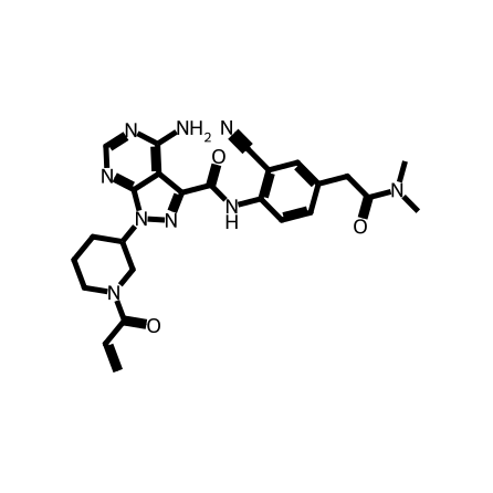 C=CC(=O)N1CCCC(n2nc(C(=O)Nc3ccc(CC(=O)N(C)C)cc3C#N)c3c(N)ncnc32)C1